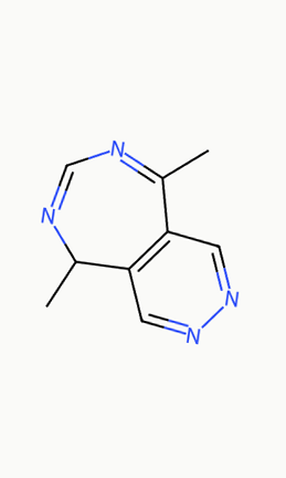 CC1=NC=NC(C)c2cnncc21